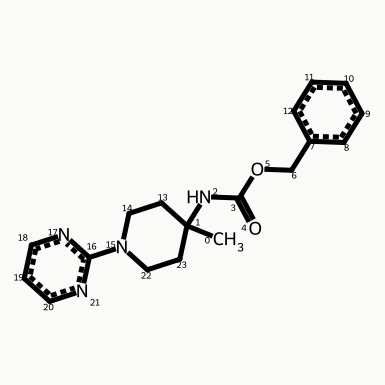 CC1(NC(=O)OCc2ccccc2)CCN(c2ncccn2)CC1